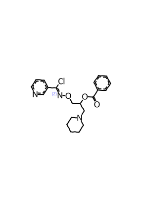 O=C(OC(CO/N=C(\Cl)c1cccnc1)CN1CCCCC1)c1ccccc1